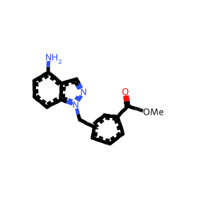 COC(=O)c1cccc(Cn2ncc3c(N)cccc32)c1